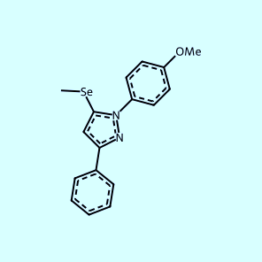 COc1ccc(-n2nc(-c3ccccc3)cc2[Se]C)cc1